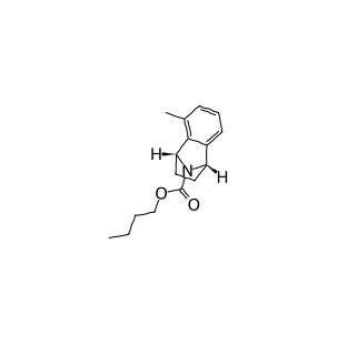 CCCCOC(=O)N1[C@@H]2CC[C@H]1c1cccc(C)c12